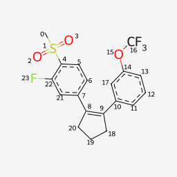 CS(=O)(=O)c1ccc(C2=C(c3cccc(OC(F)(F)F)c3)CCC2)cc1F